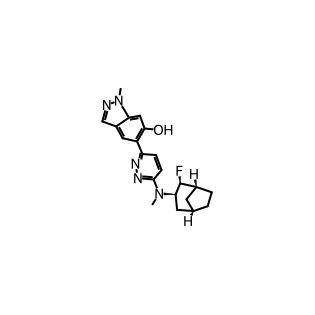 CN(c1ccc(-c2cc3cnn(C)c3cc2O)nn1)[C@@H]1C[C@H]2CC[C@H](C2)[C@@H]1F